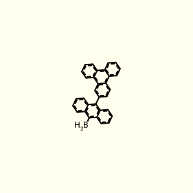 Bc1c2ccccc2c(-c2ccc3c4ccccc4c4ccccc4c3c2)c2ccccc12